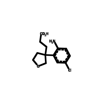 Nc1ccc(Cl)cc1C1(CCC(=O)O)CCOC1